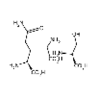 NC(=O)CC[C@H](N)C(=O)O.NCC(=O)O.N[C@@H](CO)C(=O)O